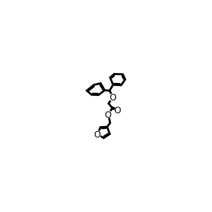 O=C(COC(c1ccccc1)c1ccccc1)OCc1ccoc1